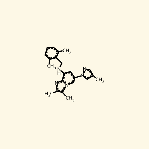 Cc1cnn(-c2cc(NCc3c(C)cccc3C)c3nc(C)c(C)n3c2)c1